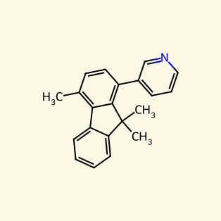 Cc1ccc(-c2cccnc2)c2c1-c1ccccc1C2(C)C